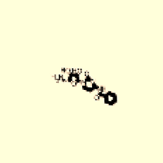 NC[C@H]1O[C@@H](n2ccc(NC(=O)c3ccccc3)nc2=O)C(O)C1O